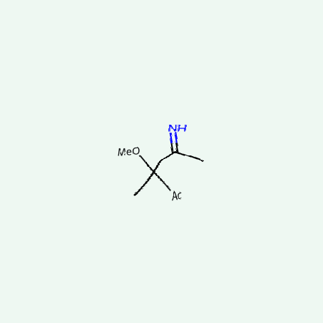 COC(C)(C(C)=N)C(C)=O